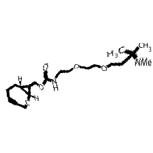 CNC(C)(C)CCOCCOCCNC(=O)OCC1[C@H]2CCC#CCC[C@@H]12